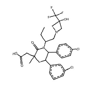 CCC(CN1CC(O)(C(F)(F)F)C1)N1C(=O)C(C)(CC(=O)O)CC(c2cccc(Cl)c2)C1c1ccc(Cl)cc1